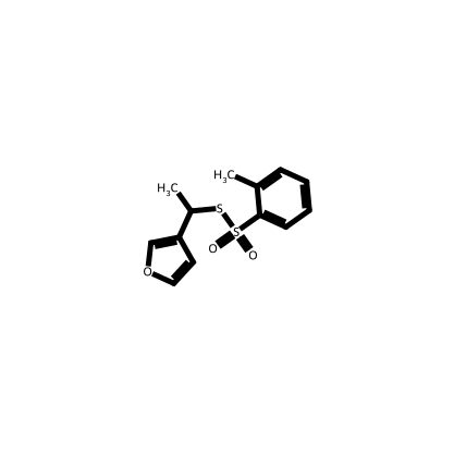 Cc1ccccc1S(=O)(=O)SC(C)c1ccoc1